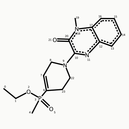 CCOP(C)(=O)C1=CCN(c2nc3ccccc3n(C)c2=O)CC1